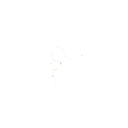 COCC1c2sc(C(=O)OC)cc2CCN1C